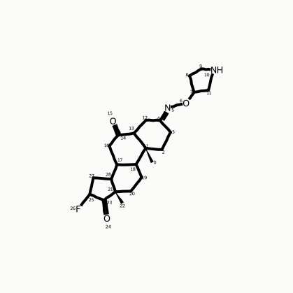 C[C@]12CCC(=NOC3CCNC3)CC1C(=O)CC1C2CC[C@]2(C)C(=O)C(F)CC12